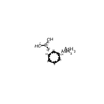 OB(O)F.[AsH3].[AsH3].c1ccccc1